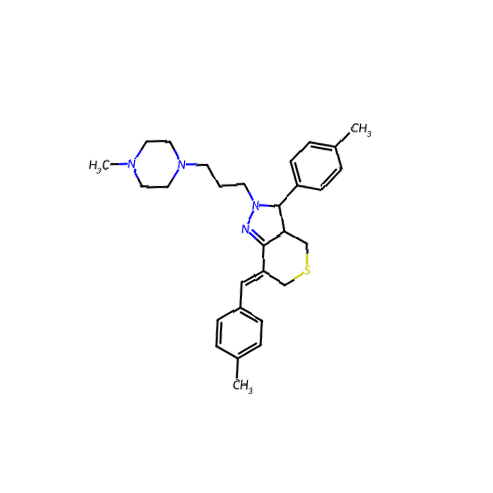 Cc1ccc(C=C2CSCC3C2=NN(CCCN2CCN(C)CC2)C3c2ccc(C)cc2)cc1